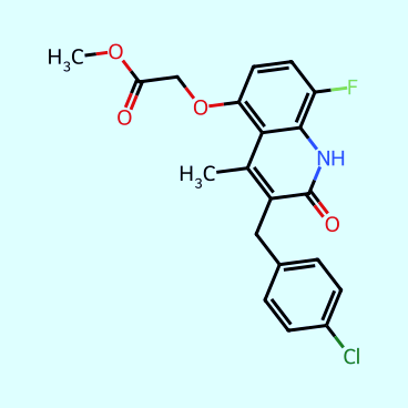 COC(=O)COc1ccc(F)c2[nH]c(=O)c(Cc3ccc(Cl)cc3)c(C)c12